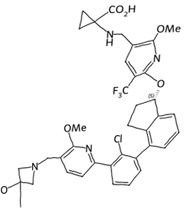 COc1nc(-c2cccc(-c3cccc4c3CC[C@@H]4Oc3nc(OC)c(CNC4(C(=O)O)CC4)cc3C(F)(F)F)c2Cl)ccc1CN1CC(C)(O)C1